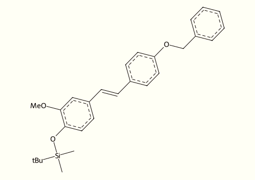 COc1cc(C=Cc2ccc(OCc3ccccc3)cc2)ccc1O[Si](C)(C)C(C)(C)C